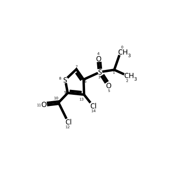 CC(C)S(=O)(=O)c1csc(C(=O)Cl)c1Cl